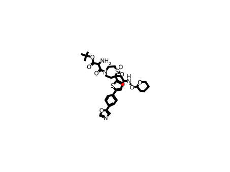 CC(C)(C)OC(=O)C(N)C(=O)N1CCC(CC(=O)NOC2CCCCO2)(c2ccc(-c3ccc(-c4cnco4)cc3)s2)S(=O)(=O)CC1